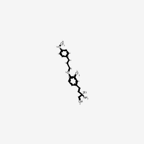 CC[C@](N)(CO)CCc1ccc(OCCCc2ccc(OC(F)(F)F)cc2)c(C(F)(F)F)c1